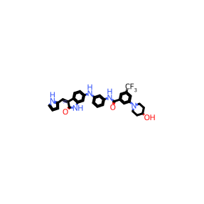 O=C1Nc2cc(Nc3cccc(NC(=O)c4cc(N5CCC(O)CC5)cc(C(F)(F)F)c4)c3)ccc2/C1=C/c1ccc[nH]1